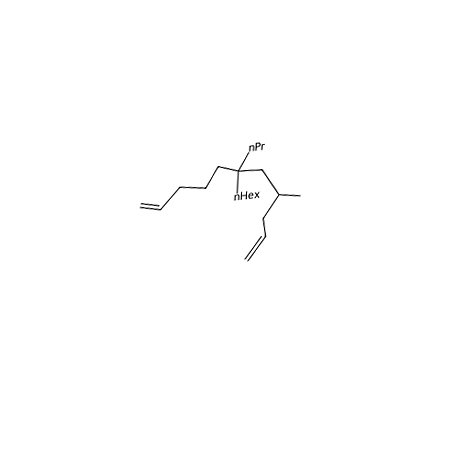 C=CCCCC(CCC)(CCCCCC)CC(C)CC=C